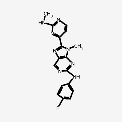 CNc1nccc(-c2nc3cnc(Nc4ccc(F)cc4)nc3n2C)n1